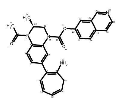 CC(=O)N1c2ccc(C3=C(N)CC=CC=C3)cc2N(C(=O)Oc2ccc3ccncc3c2)C[C@@H]1C